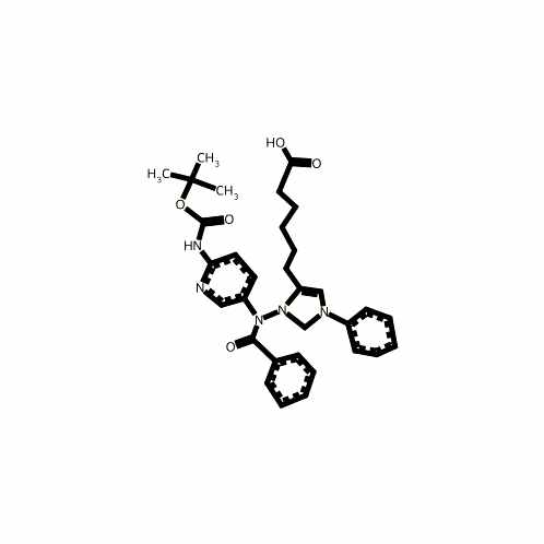 CC(C)(C)OC(=O)Nc1ccc(N(C(=O)c2ccccc2)N2CN(c3ccccc3)C=C2CCCCCC(=O)O)cn1